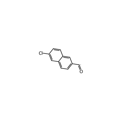 O=[C]c1ccc2cc(Cl)ccc2c1